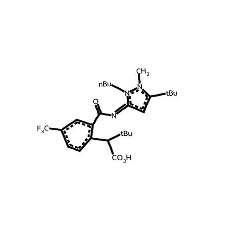 CCCCn1c(=NC(=O)c2cc(C(F)(F)F)ccc2C(C(=O)O)C(C)(C)C)cc(C(C)(C)C)n1C